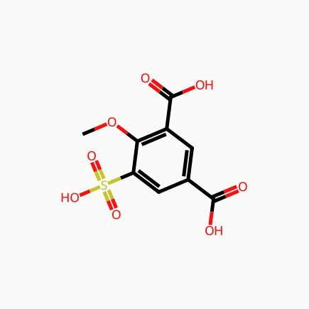 COc1c(C(=O)O)cc(C(=O)O)cc1S(=O)(=O)O